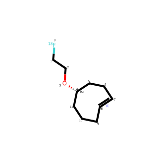 [18F]CCO[C@@H]1CC/C=C/CCC1